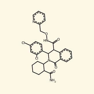 NC(=O)C1CCCCC1N1C(=O)c2ccccc2C(C(=O)NOCc2ccccn2)C1c1ccc(Cl)cc1Cl